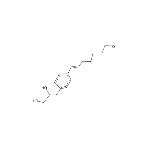 O=CCCCCC=Cc1ccc(CC(O)CO)cc1